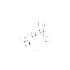 CC(C(=O)NCc1cc(C(F)(F)F)nn1-c1cccnc1)c1cn(C)c2ccc(O)cc12